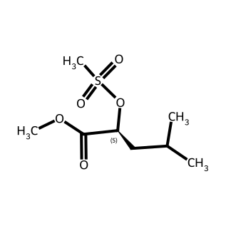 COC(=O)[C@H](CC(C)C)OS(C)(=O)=O